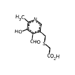 Cc1ncc(CSCC(=O)O)c(C=O)c1O